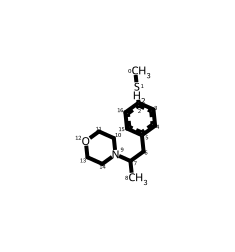 C[SH2]c1ccc(CC(C)N2CCOCC2)cc1